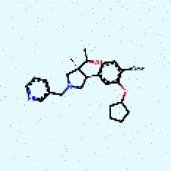 COc1ccc([C@H]2CN(Cc3cccnc3)C[C@@]2(C)[C@@H](C)O)cc1OC1CCCC1